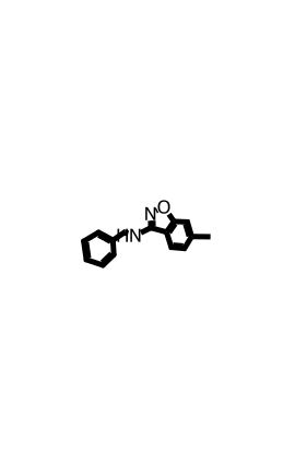 Cc1ccc2c(NCc3ccccc3)noc2c1